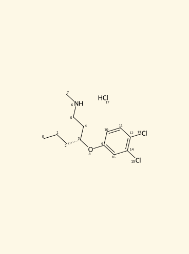 CCC[C@H](CCNC)Oc1ccc(Cl)c(Cl)c1.Cl